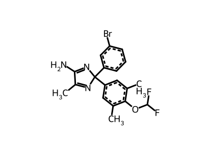 CC1=NC(c2cccc(Br)c2)(c2cc(C)c(OC(F)F)c(C)c2)N=C1N